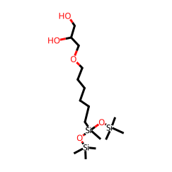 C[Si](C)(C)O[Si](C)(CCCCCCOCC(O)CO)O[Si](C)(C)C